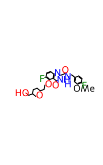 COc1cc(CNC(=O)c2nc3ccc(F)c(OCCC4CCC(CO)CO4)c3c(=O)[nH]2)ccc1F